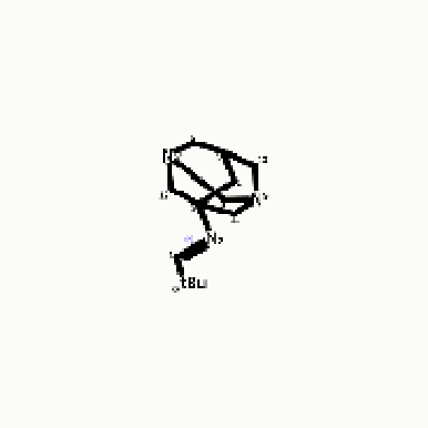 CC(C)(C)/C=N/C12CC3CN(CN(C3)C1)C2